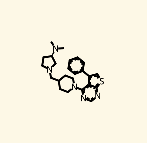 CN(C)[C@@H]1CCN(CC2CCN(c3ncnc4scc(-c5ccccc5)c34)CC2)C1